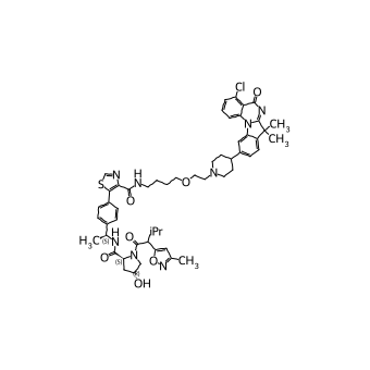 Cc1cc(C(C(=O)N2C[C@H](O)C[C@H]2C(=O)N[C@@H](C)c2ccc(-c3scnc3C(=O)NCCCCOCCN3CCC(c4ccc5c(c4)-n4c(nc(=O)c6c(Cl)cccc64)C5(C)C)CC3)cc2)C(C)C)on1